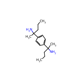 CCCC(C)(N)c1ccc(C(C)(N)CCC)cc1